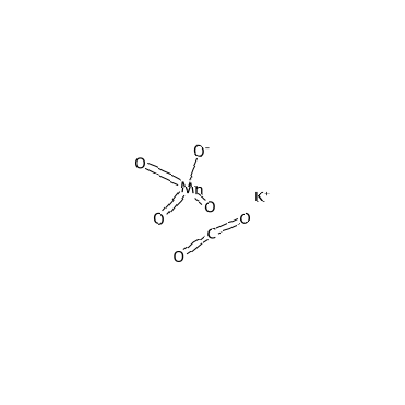 O=C=O.[K+].[O]=[Mn](=[O])(=[O])[O-]